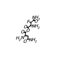 NC(=O)C[C@H](N)C(=O)OC(=O)[C@@H](N)C(F)C(N)=O